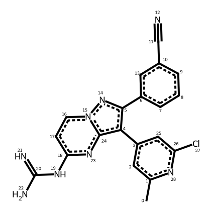 Cc1cc(-c2c(-c3cccc(C#N)c3)nn3ccc(NC(=N)N)nc23)cc(Cl)n1